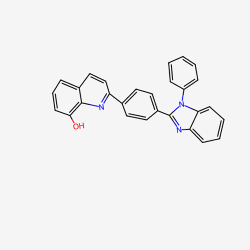 Oc1cccc2ccc(-c3ccc(-c4nc5ccccc5n4-c4ccccc4)cc3)nc12